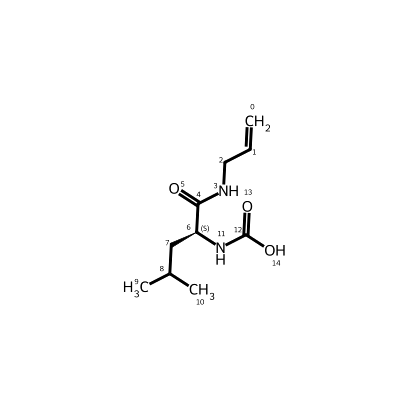 C=CCNC(=O)[C@H](CC(C)C)NC(=O)O